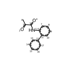 CC(=O)C(=O)Nc1ccccc1-c1ccccc1